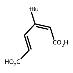 CC(C)(C)C(C=CC(=O)O)=CC(=O)O